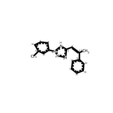 CC(=Cc1nnn(-c2cccc(Cl)c2)n1)c1ccccc1